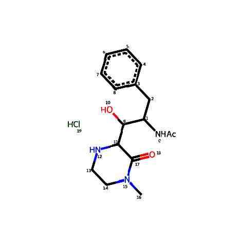 CC(=O)NC(Cc1ccccc1)C(O)C1NCCN(C)C1=O.Cl